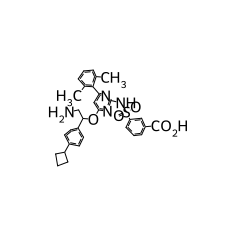 Cc1cccc(C)c1-c1cc(OC(CN)c2ccc(C3CCC3)cc2)nc(NS(=O)(=O)c2cccc(C(=O)O)c2)n1